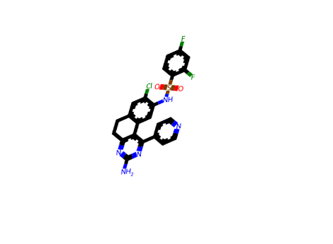 Nc1nc2c(c(-c3ccncc3)n1)-c1cc(NS(=O)(=O)c3ccc(F)cc3F)c(Cl)cc1CC2